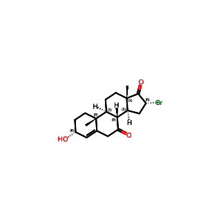 C[C@]12CC[C@@H](O)C=C1CC(=O)[C@@H]1[C@@H]2CC[C@]2(C)C(=O)[C@H](Br)C[C@@H]12